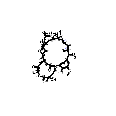 COc1cc2cc(c1Cl)N1CCC(C)(O)C(=O)N[C@@H](C)C(=O)O[C@@H](CC1=O)[C@@]1(C)CC(C)(O1)[C@@H]1C[C@@](O)(NC(=O)O1)[C@H](OC)/C=C/C=C(\C)C2OC